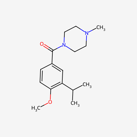 COc1ccc(C(=O)N2CCN(C)CC2)cc1C(C)C